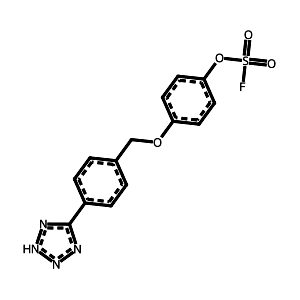 O=S(=O)(F)Oc1ccc(OCc2ccc(-c3nn[nH]n3)cc2)cc1